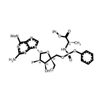 CNc1nc(N)nc2c1ncn2[C@@H]1O[C@](CCl)(COP(=O)(N[C@@H](C)C(=O)OC(C)C)Oc2ccccc2)[C@@H](O)[C@H]1F